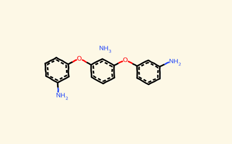 N.Nc1cccc(Oc2cccc(Oc3cccc(N)c3)c2)c1